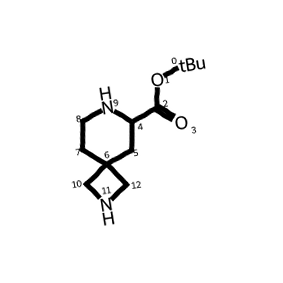 CC(C)(C)OC(=O)C1CC2(CCN1)CNC2